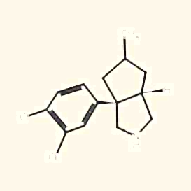 CC1C[C@@H]2CNC[C@]2(c2ccc(Cl)c(Cl)c2)C1